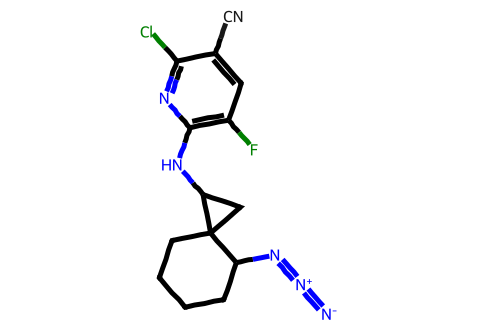 N#Cc1cc(F)c(NC2CC23CCCCC3N=[N+]=[N-])nc1Cl